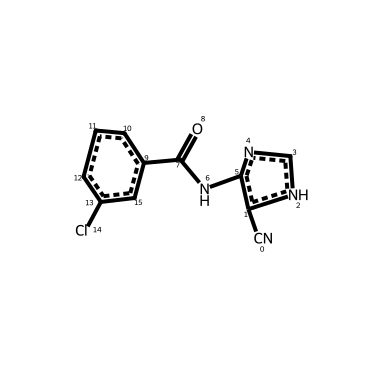 N#Cc1[nH]cnc1NC(=O)c1cccc(Cl)c1